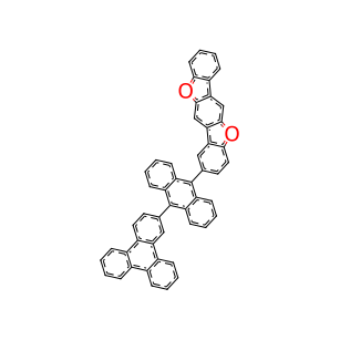 c1ccc2c(c1)oc1cc3c(cc12)oc1ccc(-c2c4ccccc4c(-c4ccc5c6ccccc6c6ccccc6c5c4)c4ccccc24)cc13